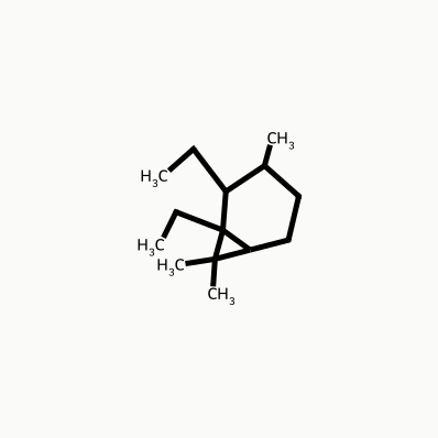 CCC1C(C)CCC2C(C)(C)C12CC